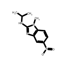 CC(C)Nc1nc2cc([N+](=O)[O-])ccc2n1C